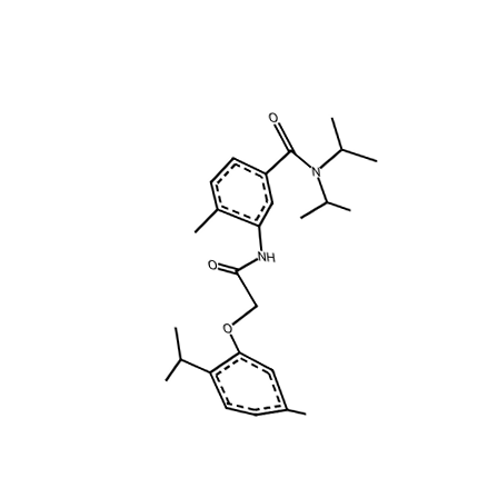 Cc1ccc(C(C)C)c(OCC(=O)Nc2cc(C(=O)N(C(C)C)C(C)C)ccc2C)c1